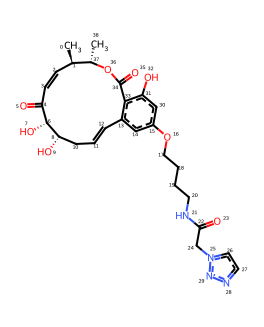 C[C@@H]1/C=C\C(=O)[C@@H](O)[C@@H](O)C/C=C/c2cc(OCCCCNC(=O)Cn3ccnn3)cc(O)c2C(=O)O[C@H]1C